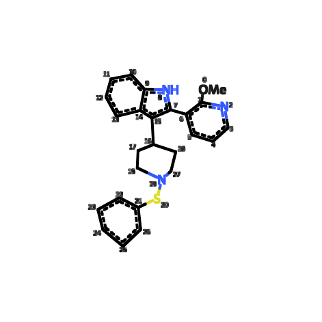 COc1ncccc1-c1[nH]c2ccccc2c1C1CCN(Sc2ccccc2)CC1